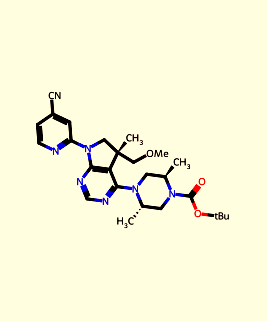 COC[C@@]1(C)CN(c2cc(C#N)ccn2)c2ncnc(N3C[C@@H](C)N(C(=O)OC(C)(C)C)C[C@@H]3C)c21